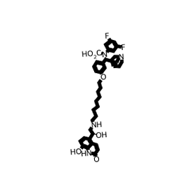 O=C(O)N(c1cc(F)cc(F)c1)[C@@H](c1cccc(OCCCCCCCCCNC[C@H](O)c2ccc(O)c3[nH]c(=O)ccc23)c1)C1CN2CCC1CC2